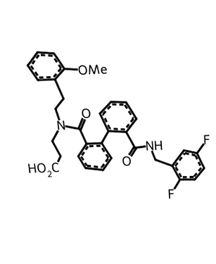 COc1ccccc1CCN(CCC(=O)O)C(=O)c1ccccc1-c1ccccc1C(=O)NCc1cc(F)ccc1F